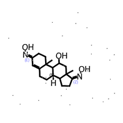 CC12CC/C(=N\O)C=C1CC[C@@H]1C2C(O)CC2(C)/C(=N\O)CCC12